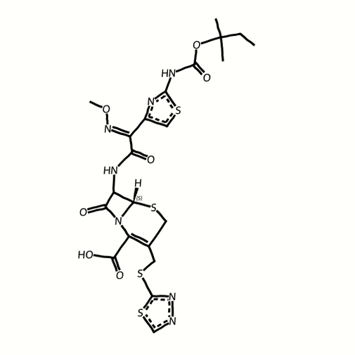 CCC(C)(C)OC(=O)Nc1nc(C(=NOC)C(=O)NC2C(=O)N3C(C(=O)O)=C(CSc4nncs4)CS[C@@H]23)cs1